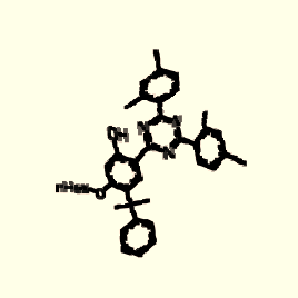 CCCCCCOc1cc(O)c(-c2nc(-c3ccc(C)cc3C)nc(-c3ccc(C)cc3C)n2)cc1C(C)(C)c1ccccc1